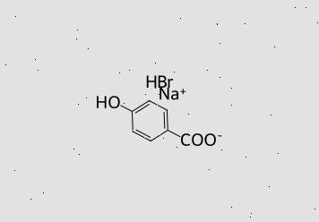 Br.O=C([O-])c1ccc(O)cc1.[Na+]